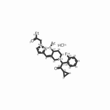 CCC(=O)Cn1ccc(C=C2CN(C(C(=O)C3CC3)c3ccccc3F)CCC2SC(C)=O)n1.Cl